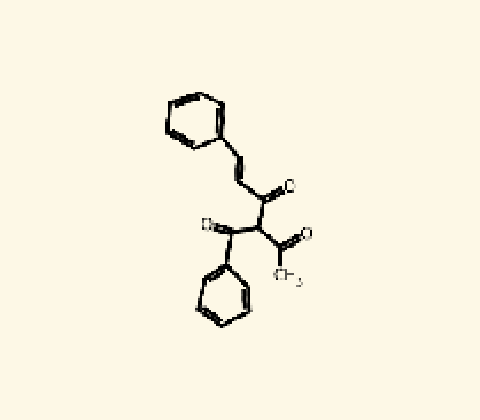 CC(=O)C(C(=O)C=Cc1ccccc1)C(=O)c1ccccc1